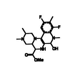 COC(=O)C1NC2=C(c3cc(F)c(C)c(F)c3N(C)C2O)N2CC(C)N(C)CC12